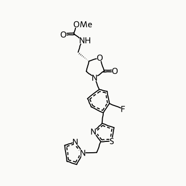 COC(=O)NC[C@H]1CN(c2ccc(-c3csc(Cn4cccn4)n3)c(F)c2)C(=O)O1